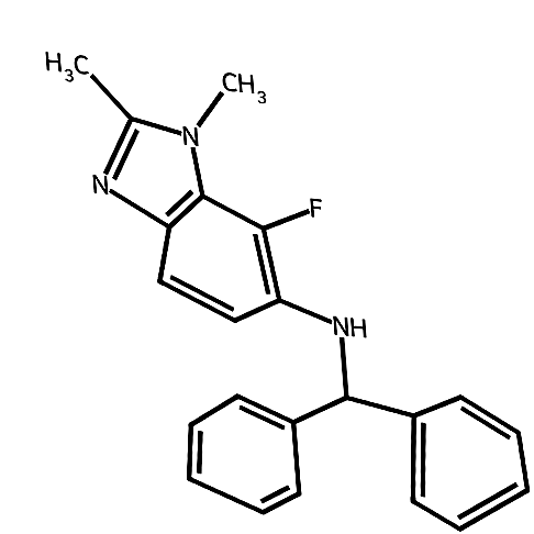 Cc1nc2ccc(NC(c3ccccc3)c3ccccc3)c(F)c2n1C